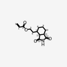 C=CC(=O)OCCC1CCCC2C(=O)NC(=O)C12